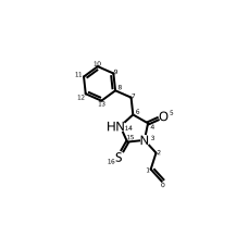 C=CCN1C(=O)C(Cc2ccccc2)NC1=S